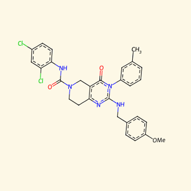 COc1ccc(CNc2nc3c(c(=O)n2-c2cccc(C)c2)CN(C(=O)Nc2ccc(Cl)cc2Cl)CC3)cc1